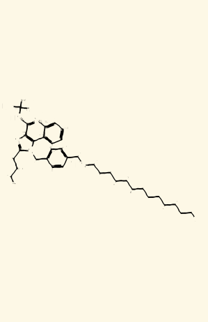 CCCCCCCCCCCCCCNCc1ccc(Cn2c(CCCC)nc3c(NC(C)(C)C)nc4ccccc4c32)cc1